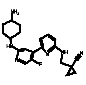 N#CC1(CNc2cccc(-c3cc(NC4CCC(N)CC4)ncc3F)n2)CC1